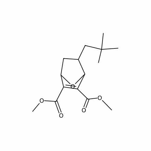 COC(=O)C1=C(C(=O)OC)C2OC1CC2CC(C)(C)C